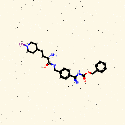 N=C(NC(=O)OCc1ccccc1)c1ccc(CNC(=O)[C@@H](N)CCC2CCN(P)CC2)cc1